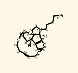 CC(C)CCCCN1CC[C@@]23CN4CCCC/C=C\CCc5cc(c(o5)[C@H]12)[C@@H]3CC4